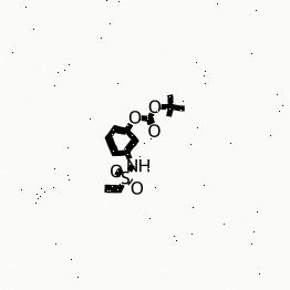 C=CS(=O)(=O)Nc1cccc(OC(=O)OC(C)(C)C)c1